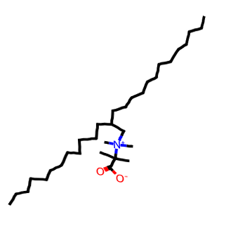 CCCCCCCCCCCCCC(CCCCCCCCCCCC)C[N+](C)(C)C(C)(C)C(=O)[O-]